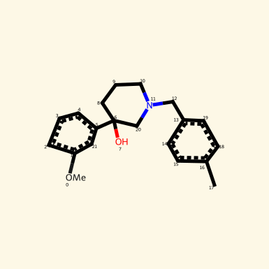 COc1cccc(C2(O)CCCN(Cc3ccc(C)cc3)C2)c1